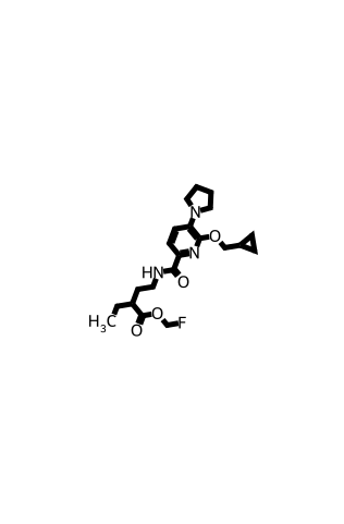 CCC(CCNC(=O)c1ccc(N2CCCC2)c(OCC2CC2)n1)C(=O)OCF